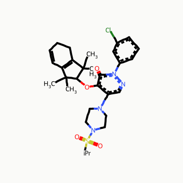 CC(C)S(=O)(=O)N1CCN(c2cnn(-c3cccc(Cl)c3)c(=O)c2OC2C(C)(C)C3=C(CCC=C3)C2(C)C)CC1